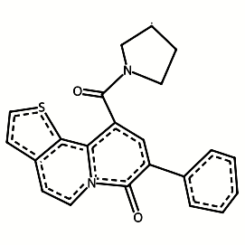 O=C(c1cc(-c2ccccc2)c(=O)n2ccc3ccsc3c12)N1C[CH]CC1